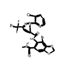 CNC(=O)c1cc2c(c(Br)c1NC(=O)c1cc(C(F)(F)F)nn1-c1ncccc1Cl)OCO2